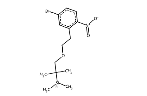 C[SiH](C)C(C)(C)COCCc1cc(Br)ccc1[N+](=O)[O-]